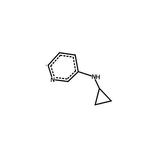 [c]1ccc(NC2CC2)cn1